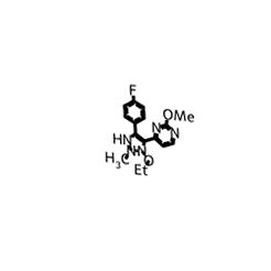 CCON1C(c2ccnc(OC)n2)=C(c2ccc(F)cc2)NN1C